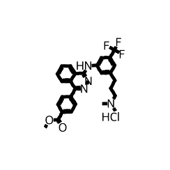 COC(=O)c1ccc(-c2nnc(Nc3cc(CCCN(C)C)cc(C(F)(F)F)c3)c3ccccc23)cc1.Cl